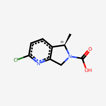 C[C@@H]1c2ccc(Cl)nc2CN1C(=O)O